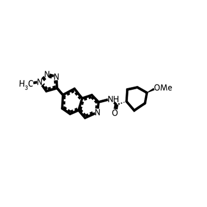 CO[C@H]1CC[C@H](C(=O)Nc2cc3cc(-c4cn(C)nn4)ccc3cn2)CC1